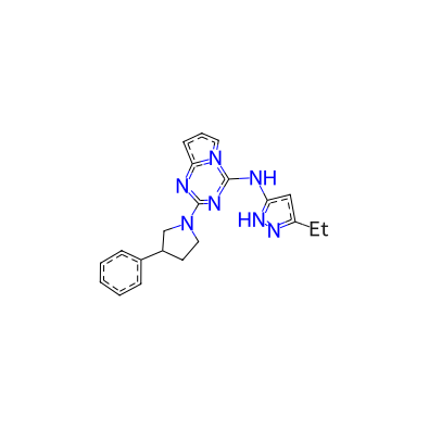 CCc1cc(Nc2nc(N3CCC(c4ccccc4)C3)nc3cccn23)[nH]n1